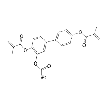 C=C(C)C(=O)Oc1ccc(-c2ccc(OC(=O)C(=C)C)c(OC(=O)C(C)C)c2)cc1